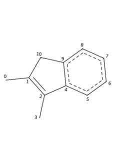 CC1=C(C)c2ccccc2C1